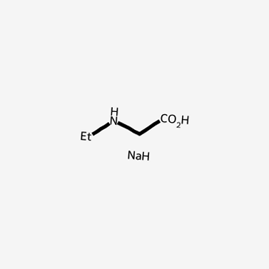 CCNCC(=O)O.[NaH]